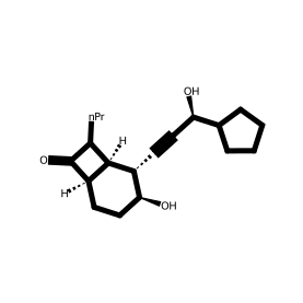 CCCC1C(=O)[C@@H]2CC[C@H](O)[C@@H](C#C[C@@H](O)C3CCCC3)[C@H]12